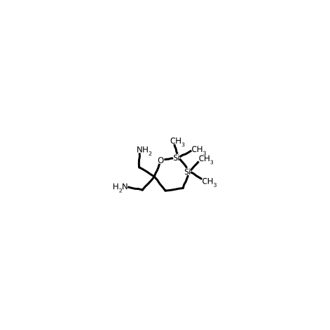 C[Si]1(C)CCC(CN)(CN)O[Si]1(C)C